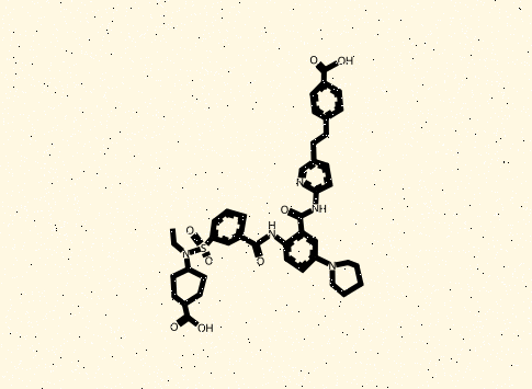 CCN(C1CCC(C(=O)O)CC1)S(=O)(=O)c1cccc(C(=O)Nc2ccc(N3CCCCC3)cc2C(=O)Nc2ccc(CCc3ccc(C(=O)O)cc3)cn2)c1